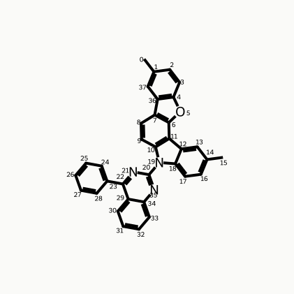 Cc1ccc2oc3c(ccc4c3c3cc(C)ccc3n4-c3nc(-c4ccccc4)c4ccccc4n3)c2c1